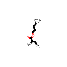 C=CC(=C)C(=O)OC=CCCC(=O)O